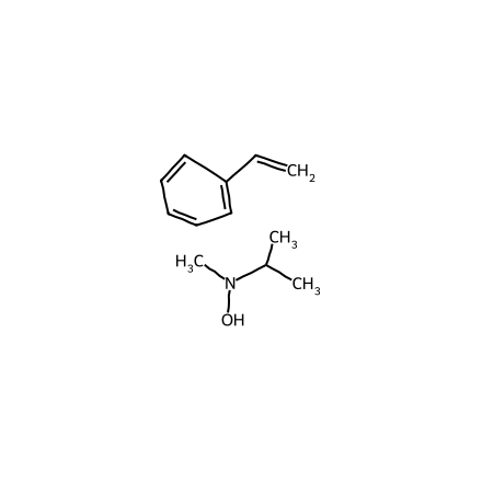 C=Cc1ccccc1.CC(C)N(C)O